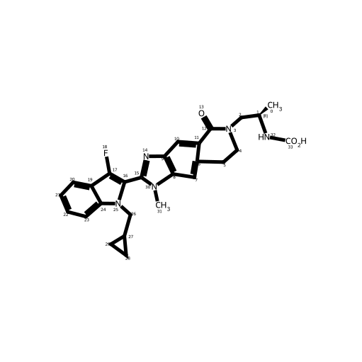 C[C@H](CN1CCc2cc3c(cc2C1=O)nc(-c1c(F)c2ccccc2n1CC1CC1)n3C)NC(=O)O